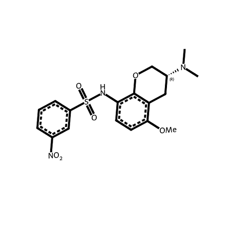 COc1ccc(NS(=O)(=O)c2cccc([N+](=O)[O-])c2)c2c1C[C@@H](N(C)C)CO2